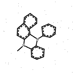 CN1c2ccccc2N(c2ccccc2)c2c1ccc1ccccc21